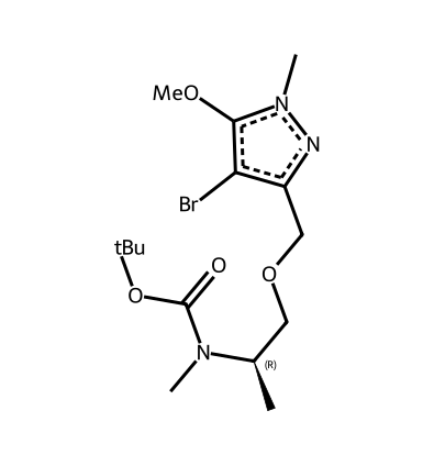 COc1c(Br)c(COC[C@@H](C)N(C)C(=O)OC(C)(C)C)nn1C